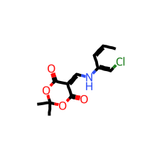 C/C=C\C(=C/Cl)NC=C1C(=O)OC(C)(C)OC1=O